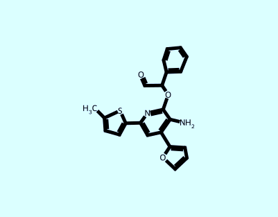 Cc1ccc(-c2cc(-c3ccco3)c(N)c(OC(C=O)c3ccccc3)n2)s1